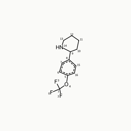 FC(F)(F)Oc1ccc(C2CCCCN2)cc1